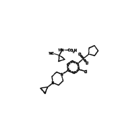 N#CC1(NC(=O)O)CC1.O=S(=O)(c1ccc(N2CCN(C3CC3)CC2)cc1Cl)C1CCCC1